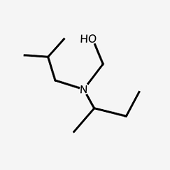 CCC(C)N(CO)CC(C)C